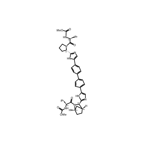 COC(=O)N[C@H](C(=O)N1CCC[C@H]1c1ncc(-c2ccc(-c3ccc(-c4cnc([C@H]5[C@@H]6CC[C@@H](C6)N5C(=O)[C@@H](NC(=O)OC)C(C)C)[nH]4)cc3)cc2)[nH]1)C(C)C